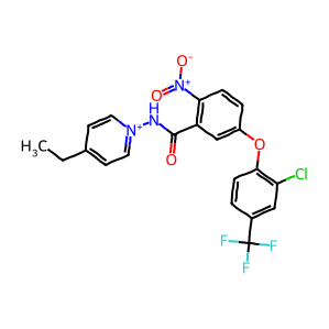 CCc1cc[n+](NC(=O)c2cc(Oc3ccc(C(F)(F)F)cc3Cl)ccc2[N+](=O)[O-])cc1